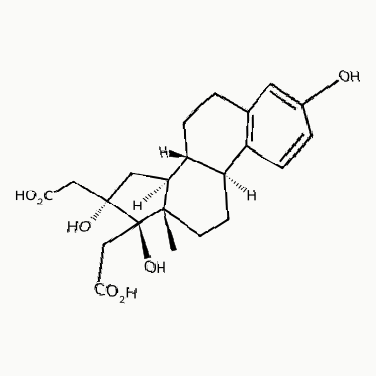 C[C@]12CC[C@@H]3c4ccc(O)cc4CC[C@H]3[C@@H]1C[C@](O)(CC(=O)O)[C@@]2(O)CC(=O)O